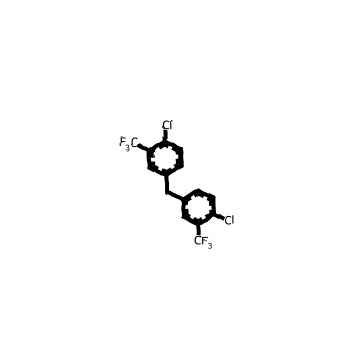 FC(F)(F)c1cc(Cc2ccc(Cl)c(C(F)(F)F)c2)ccc1Cl